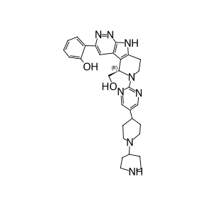 OC[C@H]1c2c([nH]c3nnc(-c4ccccc4O)cc23)CCN1c1ncc(C2CCN(C3CCNCC3)CC2)cn1